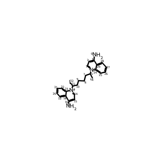 Nc1cc[n+](C(I)CCCCC(I)[n+]2ccc(N)c3ccccc32)c2ccccc12